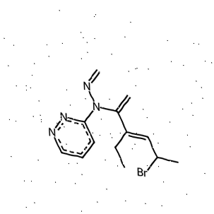 C=NN(C(=C)/C(=C/C(C)Br)CC)c1cccnn1